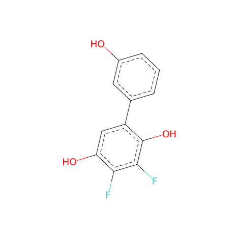 Oc1cccc(-c2cc(O)c(F)c(F)c2O)c1